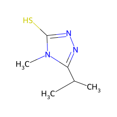 CC(C)c1nnc(S)n1C